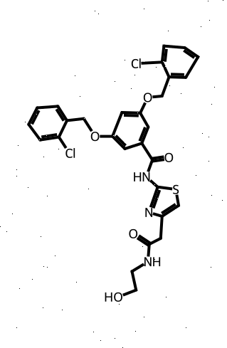 O=C(Cc1csc(NC(=O)c2cc(OCc3ccccc3Cl)cc(OCc3ccccc3Cl)c2)n1)NCCO